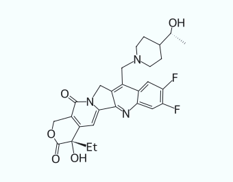 CC[C@@]1(O)C(=O)OCc2c1cc1n(c2=O)Cc2c-1nc1cc(F)c(F)cc1c2CN1CCC([C@@H](C)O)CC1